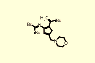 C=C(C1=C(/N=C(/Br)C(C)CC)C=C(CN2CCOCC2)C1)C(C)CC